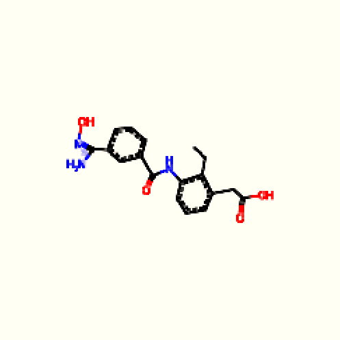 CCc1c(CC(=O)O)cccc1NC(=O)c1cccc(/C(N)=N\O)c1